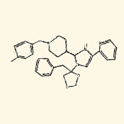 Cc1ccc(CN2CCC(C3NC(c4ccccn4)=CN3C3(Cc4ccccc4)COCO3)CC2)cc1